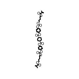 C=C(C)C(=O)OCCCCOC(=O)Oc1ccc(OC(=O)[C@H]2CC[C@H](C(=O)Oc3ccc(OC(=O)OCCCCOC(=O)C(=C)C)cc3)CC2)cc1